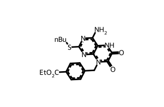 CCCCSc1nc(N)c2[nH]c(=O)c(=O)n(Cc3ccc(C(=O)OCC)cc3)c2n1